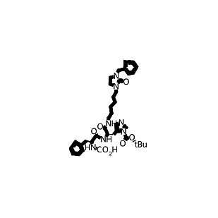 CC(C)(C)OC(=O)n1cncc1C[C@H](NC(=O)[C@H](Cc1ccccc1)NC(=O)O)C(=O)NCCCCCCN1CCN(Cc2ccccc2)C1=O